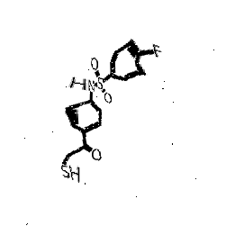 O=C(CS)c1ccc(NS(=O)(=O)c2ccc(F)cc2)cc1